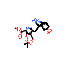 COC(=O)c1ncc(Cc2c[nH]c3ccc(OC)cc23)c2c1OC(C)(C)OC2